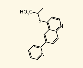 CC(Sc1ccnc2ccc(-c3ccccn3)cc12)C(=O)O